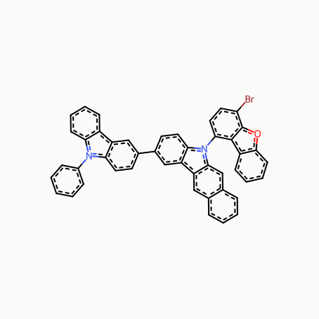 Brc1ccc(-n2c3ccc(-c4ccc5c(c4)c4ccccc4n5-c4ccccc4)cc3c3cc4ccccc4cc32)c2c1oc1ccccc12